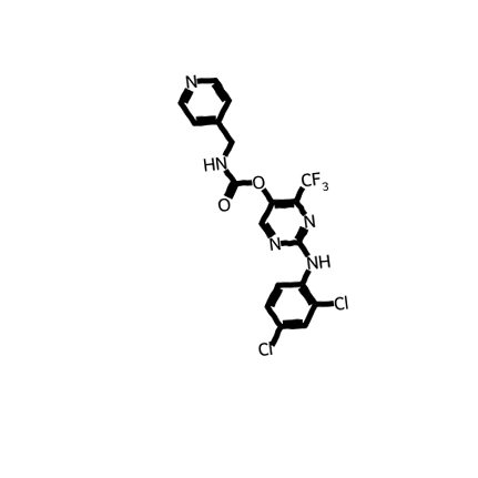 O=C(NCc1ccncc1)Oc1cnc(Nc2ccc(Cl)cc2Cl)nc1C(F)(F)F